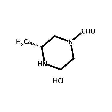 C[C@@H]1CN(C=O)CCN1.Cl